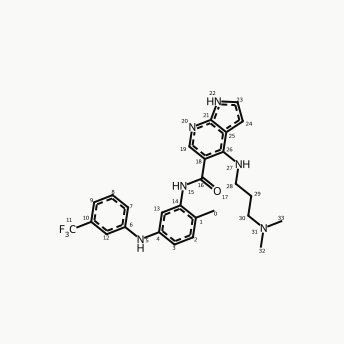 Cc1ccc(Nc2cccc(C(F)(F)F)c2)cc1NC(=O)c1cnc2[nH]ccc2c1NCCCN(C)C